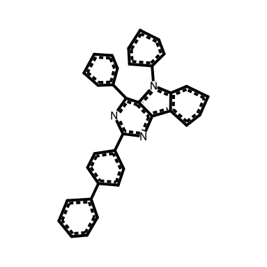 c1ccc(-c2ccc(-c3nc(-c4ccccc4)c4c(n3)c3ccccc3n4-c3ccccc3)cc2)cc1